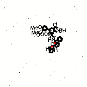 COc1ccc([C@H](Cc2c(Cl)c[n+](O)cc2Cl)c2cc(CNC(C(=O)OC3C[C@H]4CC[C@H](C3)N4Cc3ccccc3)c3ccccc3)sc2C(=O)[O-])cc1OC